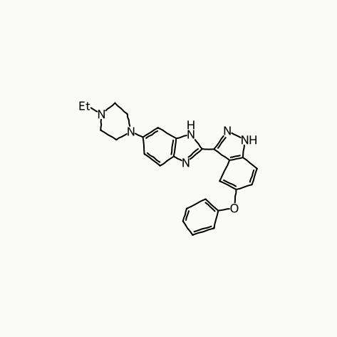 CCN1CCN(c2ccc3nc(-c4n[nH]c5ccc(Oc6ccccc6)cc45)[nH]c3c2)CC1